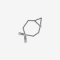 O=S1(=O)CCC2CN2CC1